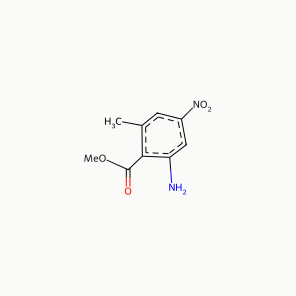 COC(=O)c1c(C)cc([N+](=O)[O-])cc1N